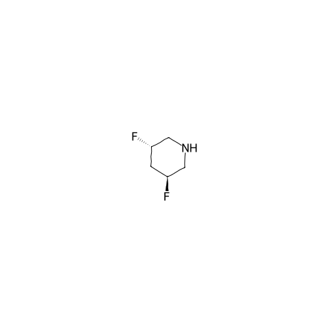 F[C@@H]1CNC[C@@H](F)C1